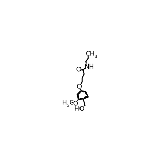 CCCNC(=O)CCCOc1ccc(CO)c(OC)c1